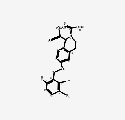 COC(=O)C1c2ccc(OCc3c(F)ccc(F)c3F)cc2CCN1C(=O)OCC(C)C